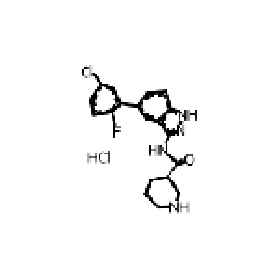 Cl.O=C(Nc1n[nH]c2ccc(-c3cc(Cl)ccc3F)cc12)[C@@H]1CCCNC1